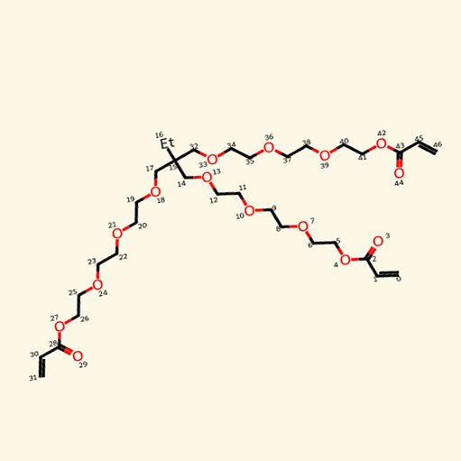 C=CC(=O)OCCOCCOCCOCC(CC)(COCCOCCOCCOC(=O)C=C)COCCOCCOCCOC(=O)C=C